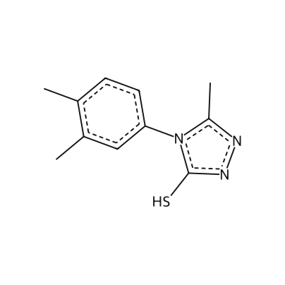 Cc1ccc(-n2c(C)nnc2S)cc1C